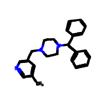 Cc1cncc(CN2CCN(C(c3ccccc3)c3ccccc3)CC2)c1